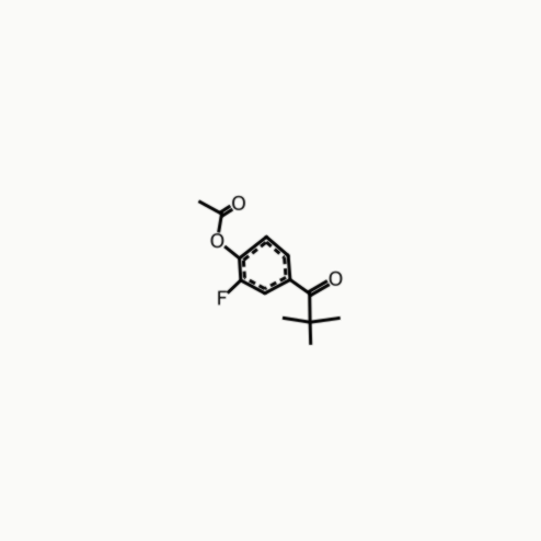 CC(=O)Oc1ccc(C(=O)C(C)(C)C)cc1F